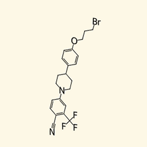 N#Cc1ccc(N2CCC(c3ccc(OCCCBr)cc3)CC2)cc1C(F)(F)F